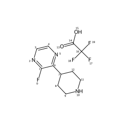 Fc1nccnc1C1CCNCC1.O=C(O)C(F)(F)F